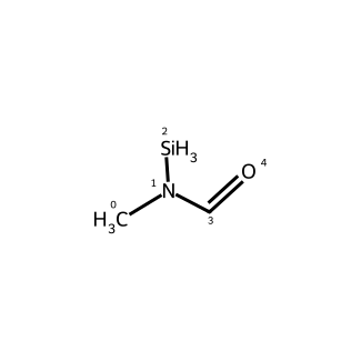 CN([SiH3])C=O